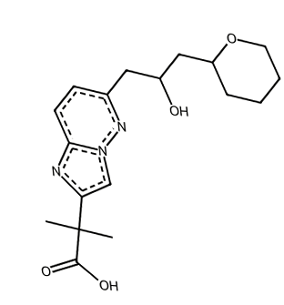 CC(C)(C(=O)O)c1cn2nc(CC(O)CC3CCCCO3)ccc2n1